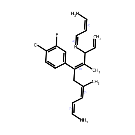 C=CC(/N=C\C=C/N)/C(C)=C(/C/C(C)=C\C=C/N)c1ccc(Cl)c(F)c1